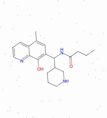 CCCC(=O)NC(c1cc(C)c2cccnc2c1O)C1CCCNC1